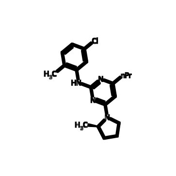 CCCc1cc(N2CCC[C@H]2C)nc(Nc2cc(Cl)ccc2C)n1